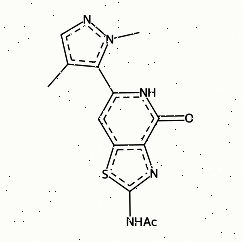 CC(=O)Nc1nc2c(=O)[nH]c(-c3c(C)cnn3C)cc2s1